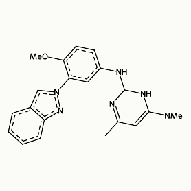 CNC1=CC(C)=NC(Nc2ccc(OC)c(-n3cc4ccccc4n3)c2)N1